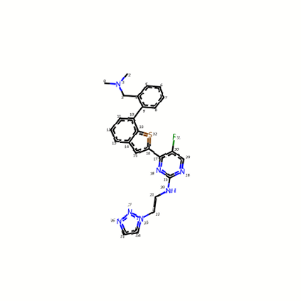 CN(C)Cc1ccccc1-c1cccc2cc(-c3nc(NCCn4ccnn4)ncc3F)sc12